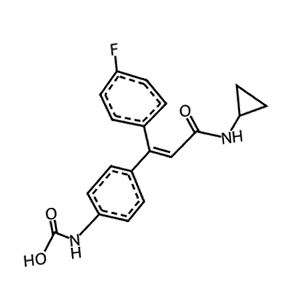 O=C(O)Nc1ccc(C(=CC(=O)NC2CC2)c2ccc(F)cc2)cc1